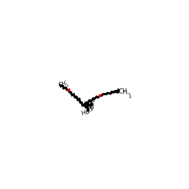 CCCCCCCCCCCCCCCCCCc1cc(CCCCCCCCCCCCCCCCCC)c(I(=O)=O)c(C(=O)O)c1